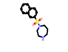 O=S(=O)(c1ccc2ccccc2c1)N1CCCNCC1